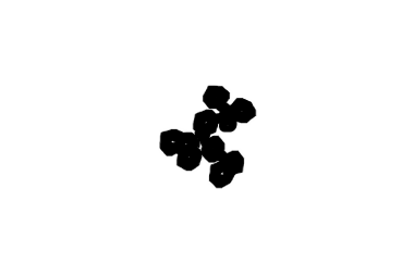 c1ccc(-c2c(-c3cccc(N(c4ccc(-c5cccc6ccccc56)cc4)c4cc5ccccc5c5ccccc45)c3)oc3ccccc23)cc1